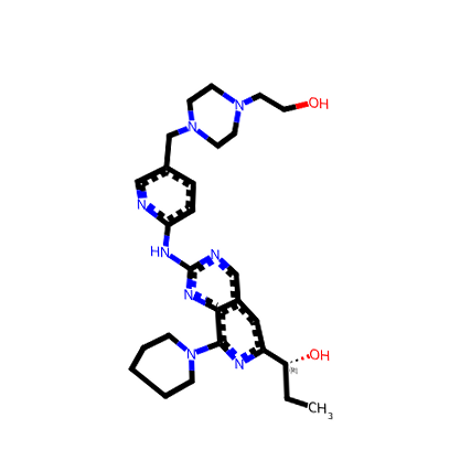 CC[C@@H](O)c1cc2cnc(Nc3ccc(CN4CCN(CCO)CC4)cn3)nc2c(N2CCCCC2)n1